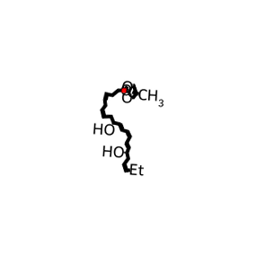 CC/C=C\C[C@H](O)/C=C/C=C\C=C\[C@@H](O)C/C=C\C/C=C\CCC12OCC(C)(CO1)CO2